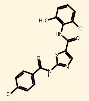 Cc1cccc(Cl)c1NC(=O)c1cnc(NC(=O)c2ccc(Cl)cc2)s1